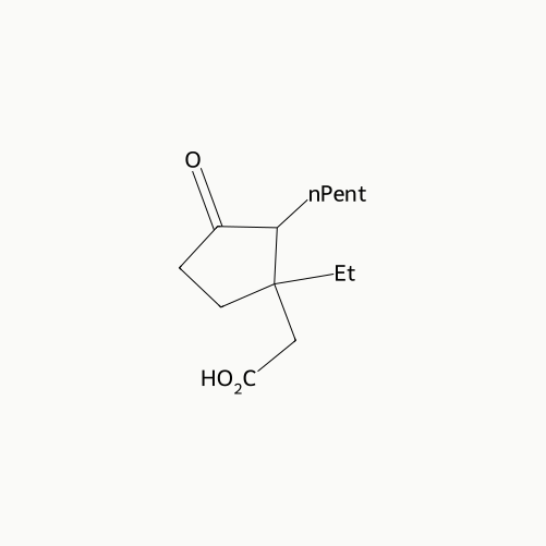 CCCCCC1C(=O)CCC1(CC)CC(=O)O